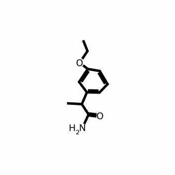 CCOc1cccc(C(C)C(N)=O)c1